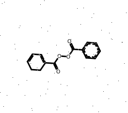 O=C(OOC(=O)c1ccccc1)C1=CC=CCC1